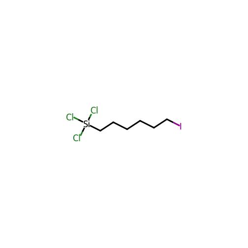 Cl[Si](Cl)(Cl)CCCCCCI